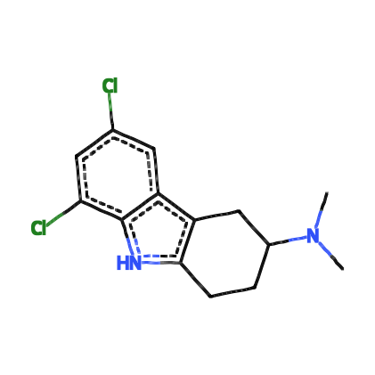 CN(C)C1CCc2[nH]c3c(Cl)cc(Cl)cc3c2C1